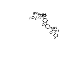 CC(C)[C@H](NS(=O)(=O)c1ccc2c(c1)oc1ccc(NC(=O)Nc3ccsc3)cc12)C(=O)O